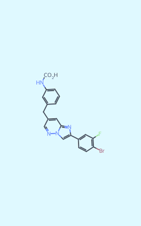 O=C(O)Nc1cccc(Cc2cnn3cc(-c4ccc(Br)c(F)c4)nc3c2)c1